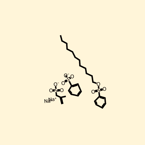 C=C(C)CS(=O)(=O)[O-].CCCCCCCCCCCCOS(=O)(=O)c1ccccc1.O=S(=O)([O-])c1ccccc1.[Na+].[Na+]